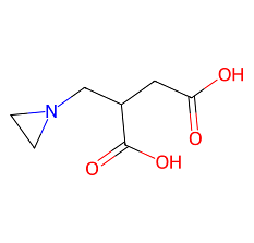 O=C(O)CC(CN1CC1)C(=O)O